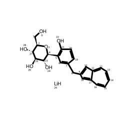 OC[C@H]1O[C@@H](c2cc(Cc3cc4cccccc-4c3)ccc2O)[C@H](O)[C@@H](O)[C@@H]1O.[LiH]